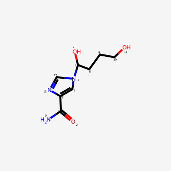 NC(=O)c1cn(C(O)CCCO)cn1